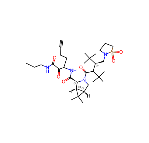 C#CCCC(NC(=O)[C@@H]1[C@@H]2[C@H](CN1C(=O)C([C@H](CN1CCCS1(=O)=O)C(C)(C)C)C(C)(C)C)C2(C)C)C(=O)C(=O)NCCC